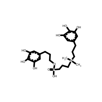 C[N+](C)(CCCc1cc(O)c(O)c(O)c1)CCCP(=O)(O)OCCCc1cc(O)c(O)c(O)c1